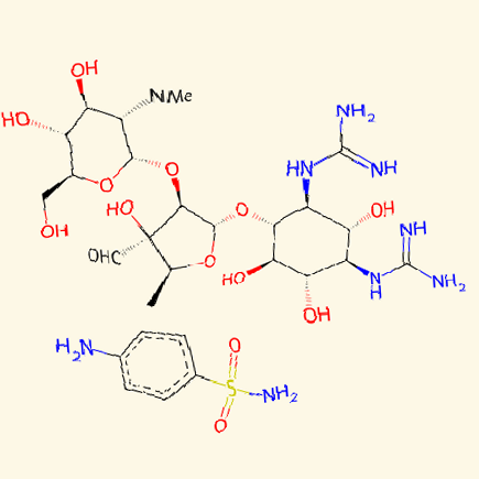 CN[C@@H]1[C@H](O[C@H]2[C@H](O[C@H]3[C@H](O)[C@@H](O)[C@H](NC(=N)N)[C@@H](O)[C@@H]3NC(=N)N)O[C@@H](C)[C@]2(O)C=O)O[C@@H](CO)[C@H](O)[C@H]1O.Nc1ccc(S(N)(=O)=O)cc1